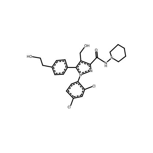 O=C(NN1CCCCC1)c1nn(-c2ccc(Cl)cc2Cl)c(-c2ccc(CCO)cc2)c1CO